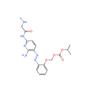 CNCC(=O)Nc1ccc(/N=N/c2ccccc2OCOC(=O)OC(C)C)c(N)n1